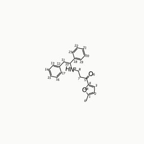 Cc1ccc(C(=O)CCNC(Cc2ccccc2)c2ccccc2)o1